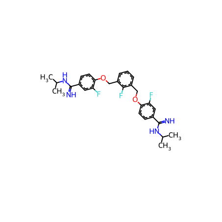 CC(C)NC(=N)c1ccc(OCc2cccc(COc3ccc(C(=N)NC(C)C)cc3F)c2F)c(F)c1